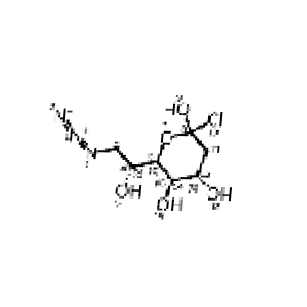 [N-]=[N+]=NC[C@@H](O)[C@H]1OC(O)(Cl)C[C@H](O)[C@H]1O